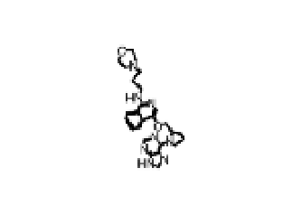 c1ccc2c(NCCCN3CCOCC3)ncc(OCC3CCCN3c3ncnc4[nH]cnc34)c2c1